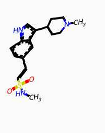 CNS(=O)(=O)/C=C/c1ccc2[nH]cc(C3CCN(C)CC3)c2c1